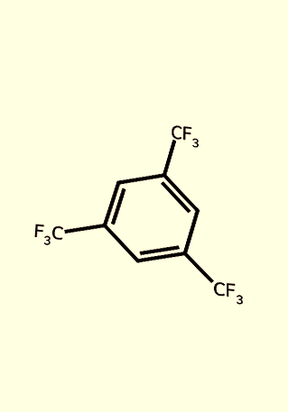 FC(F)(F)c1cc(C(F)(F)F)cc(C(F)(F)F)c1